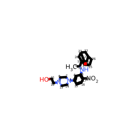 CC(Nc1cc(N2CCN(CCO)CC2)ccc1[N+](=O)[O-])C12CC3CC(CC(C3)C1)C2